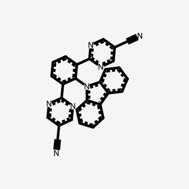 N#Cc1cnc(-c2cccc(-c3ncc(C#N)cn3)c2-n2c3ccccc3c3ccccc32)nc1